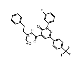 O=C(N[C@@H](CO)CCc1ccccc1)c1cc(-c2ccc(C(F)(F)F)cc2)nn(-c2cccc(F)c2)c1=O